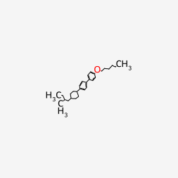 CCCCCCOc1ccc(-c2ccc(C3CCC(CC(C)CC)CC3)cc2)cc1